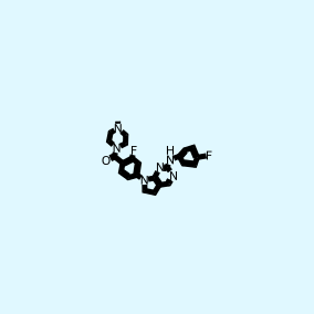 CN1CCN(C(=O)c2ccc(N3CCc4cnc(Nc5ccc(F)cc5)nc43)cc2F)CC1